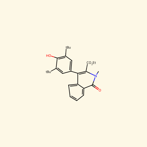 CCOC(=O)c1c(-c2cc(C(C)(C)C)c(O)c(C(C)(C)C)c2)c2ccccc2c(=O)n1C